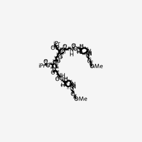 COCCOCCn1nnc2c1CC[C@H]1[C@@H](CC2)[C@H]1COC(=O)NCCC(=O)N1CCN(CC(=O)CC(=O)CN2CCN(C(=O)CCNC(=O)OCC3[C@H]4CCc5nnn(CCOCCOC)c5CC[C@@H]34)CC2COC(=O)C(C)C)C(COC(=O)C(C)C)C1